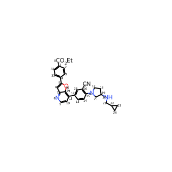 CCOC(=O)c1ccc(-c2cc3nccc(-c4ccc(N5CCC(NCC6CC6)C5)c(C#N)c4)c3o2)cc1